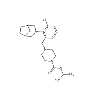 O=C(OC(C(F)(F)F)C(F)(F)F)N1CCN(Cc2cccc(Cl)c2N2CC3CCC(C2)O3)CC1